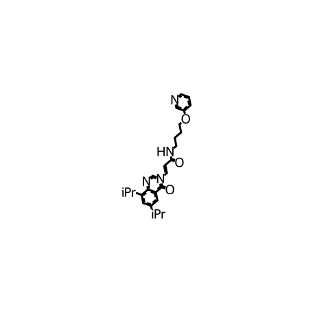 CC(C)c1cc(C(C)C)c2ncn(C=CC(=O)NCCCCOc3cccnc3)c(=O)c2c1